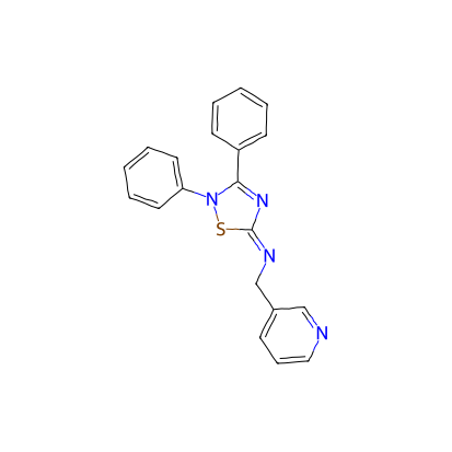 c1ccc(-c2nc(=NCc3cccnc3)sn2-c2ccccc2)cc1